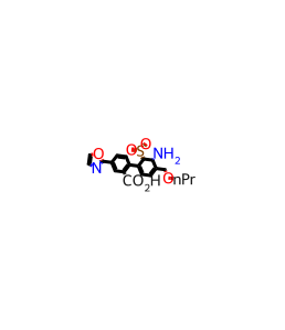 CCCOCC1=CC=C(c2ccc(-c3ncco3)cc2C(=O)O)C(=S(=O)=O)C1N